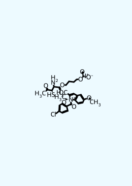 CC(=O)[C@@H](S)C(N)C(=O)OCCCCO[N+](=O)[O-].COc1ccc2c(c1)C=C(C)[N@+]2(C(C)=O)C(=O)c1ccc(Cl)cc1